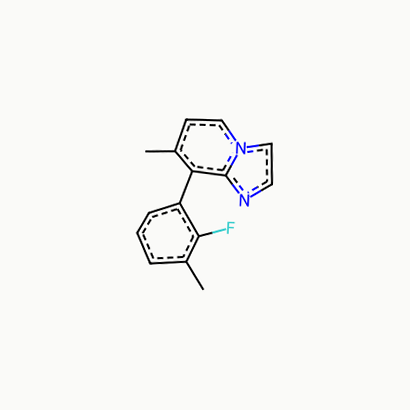 Cc1cccc(-c2c(C)ccn3ccnc23)c1F